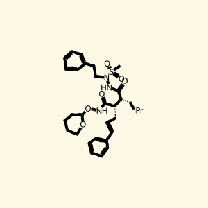 CC(C)C[C@@H](C(=O)NN(CCc1ccccc1)S(C)(=O)=O)[C@H](CC=Cc1ccccc1)C(=O)NOC1CCCCO1